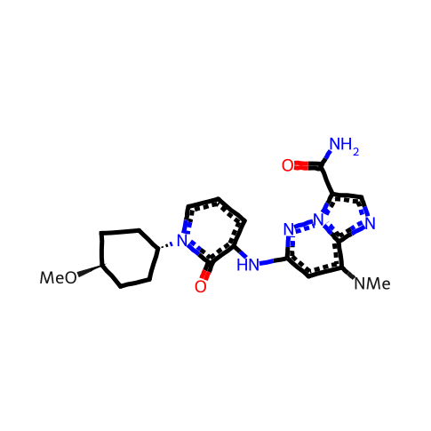 CNc1cc(Nc2cccn([C@H]3CC[C@H](OC)CC3)c2=O)nn2c(C(N)=O)cnc12